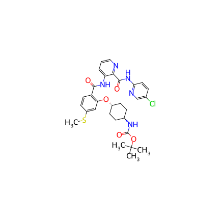 CSc1ccc(C(=O)Nc2cccnc2C(=O)Nc2ccc(Cl)cn2)c(O[C@H]2CC[C@H](NC(=O)OC(C)(C)C)CC2)c1